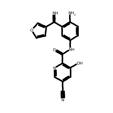 N#Cc1cnc(C(=O)Nc2ccc(N)c(C(=N)c3ccoc3)c2)c(O)c1